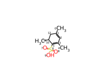 CC1=CC(C)=C(S(=O)(=O)O)C(C)C1